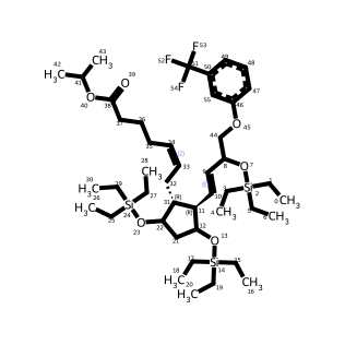 CC[Si](CC)(CC)OC(/C=C/[C@H]1C(O[Si](CC)(CC)CC)CC(O[Si](CC)(CC)CC)[C@@H]1C/C=C\CCCC(=O)OC(C)C)COc1cccc(C(F)(F)F)c1